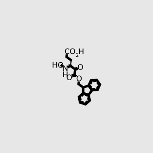 O=C(O)CC[C@H](NO)C(=O)C(=O)OCC1c2ccccc2-c2ccccc21